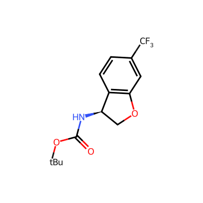 CC(C)(C)OC(=O)N[C@@H]1COc2cc(C(F)(F)F)ccc21